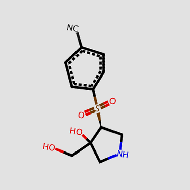 N#Cc1ccc(S(=O)(=O)[C@H]2CNCC2(O)CO)cc1